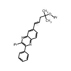 CC(C)OC(C)(C)C/C=C/c1ccc2nc(-c3ccccc3)c(C(C)C)nc2c1